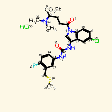 CCOC(=O)C(CCC(=O)n1cc(NC(=O)Nc2ccc(F)c(CSC(F)(F)F)c2)c2cc(Cl)ccc21)N(C)C.Cl